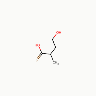 CC(CCO)C(O)=S